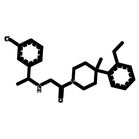 CCc1ccccc1C1(C)CCN(C(=O)CNC(C)c2cccc(Cl)c2)CC1